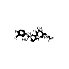 CN1CC(CNCC(F)F)Cn2nc3c(c2C1=O)CN(C(O)Nc1ccc(F)c(C#N)c1)CC3